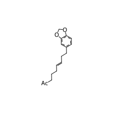 CC(=O)CCC/C=C/CCc1ccc2c(c1)OCO2